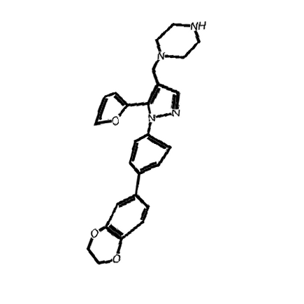 c1coc(-c2c(CN3CCNCC3)cnn2-c2ccc(-c3ccc4c(c3)OCCO4)cc2)c1